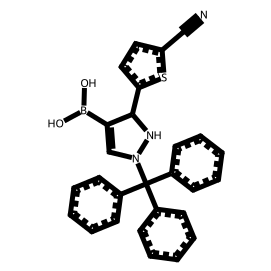 N#Cc1ccc(C2NN(C(c3ccccc3)(c3ccccc3)c3ccccc3)C=C2B(O)O)s1